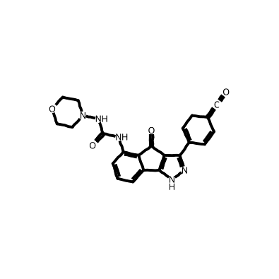 O=C=C1C=CC(c2n[nH]c3c2C(=O)c2c(NC(=O)NN4CCOCC4)cccc2-3)=CC1